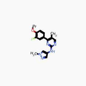 Cc1cnc(Nc2cnn(C)c2)nc1-c1ccc(OC(C)C)c(F)c1